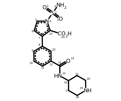 NS(=O)(=O)n1ccc(-c2cccc(C(=O)NC3CCNCC3)c2)c1C(=O)O